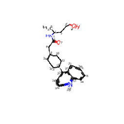 CC(CCO)NC(=O)C[C@H]1CC[C@@H](c2ccnc3ccccc32)CC1